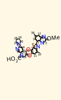 COc1cnc2c(-c3nc4c(C)cc5c(c4s3)OC[C@H](CN(C(=O)O)c3ccc(N4CCCC4)nc3)O5)cc(C)cc2n1